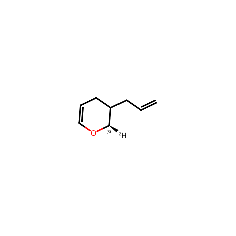 [2H][C@H]1OC=CCC1CC=C